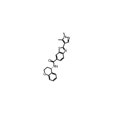 Cc1c(-c2nc3ccc(C(=O)N[C@H]4CCOc5ccccc54)cc3s2)cnn1C